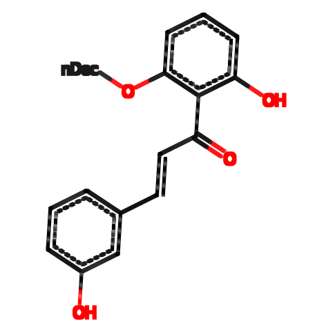 CCCCCCCCCCOc1cccc(O)c1C(=O)/C=C/c1cccc(O)c1